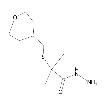 CC(C)(SCC1CCOCC1)C(=O)NN